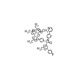 COC(=O)C1OC(Oc2ccc([C@@H]3[C@@H](SC[C@H](OC(C)=O)c4ccc(F)cc4)C(=O)N3c3ccc(-c4cccnc4)cc3)cc2)C(OC(C)=O)C(OC(C)=O)C1OC(C)=O